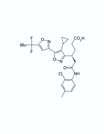 Cc1ccc(NC(=O)C[C@H](CCC(=O)O)c2noc(-c3cc(C(F)(F)C(C)(C)C)on3)c2C2CC2)c(Cl)c1